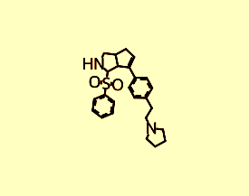 O=S(=O)(c1ccccc1)C1NCC2CC=C(c3ccc(CCN4CCCC4)cc3)C21